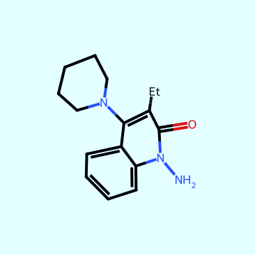 CCc1c(N2CCCCC2)c2ccccc2n(N)c1=O